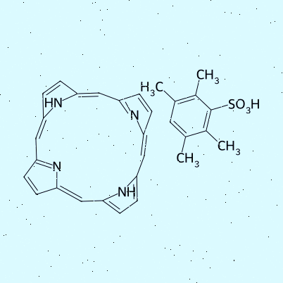 C1=Cc2cc3ccc(cc4nc(cc5ccc(cc1n2)[nH]5)C=C4)[nH]3.Cc1cc(C)c(C)c(S(=O)(=O)O)c1C